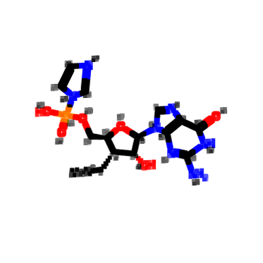 CNC[C@H]1[C@@H](O)[C@H](n2cnc3c(=O)[nH]c(N)nc32)O[C@@H]1COP(=O)(O)n1ccnc1